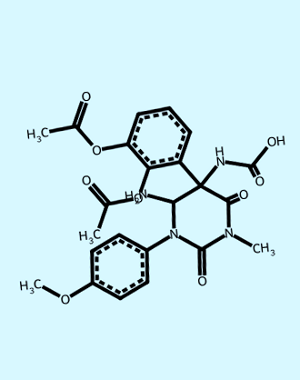 COc1ccc(N2C(=O)N(C)C(=O)C(NC(=O)O)(c3cccc(OC(C)=O)c3OC(C)=O)C2N)cc1